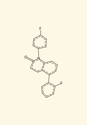 O=c1ccc2c(-c3ccccc3F)cccc2n1-c1ccc(F)cc1